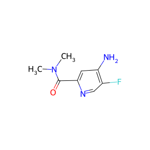 CN(C)C(=O)c1cc(N)c(F)cn1